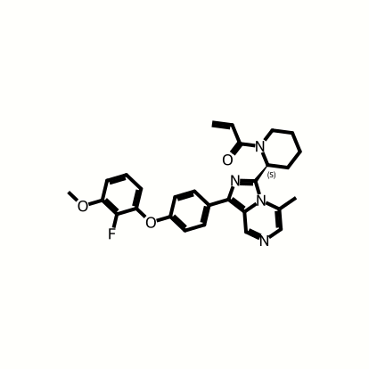 C=CC(=O)N1CCCC[C@H]1c1nc(-c2ccc(Oc3cccc(OC)c3F)cc2)c2cncc(C)n12